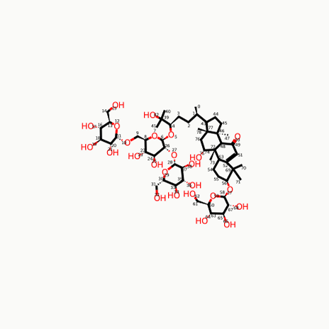 C[C@H](CC[C@@H](O[C@@H]1O[C@H](CO[C@H]2O[C@H](CO)[C@@H](O)[C@H](O)[C@H]2O)[C@@H](O)[C@H](O)[C@H]1O[C@H]1O[C@@H](CO)[C@H](O)[C@@H](O)[C@@H]1O)C(C)(C)O)C1CC[C@@]2(C)C3C(=O)C=C4C(CC[C@H](O[C@@H]5O[C@H](CO)[C@@H](O)[C@H](O)[C@H]5O)C4(C)C)[C@]3(C)[C@H](O)C[C@]12C